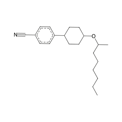 CCCCCCC(C)OC1CCC(c2ccc(C#N)cc2)CC1